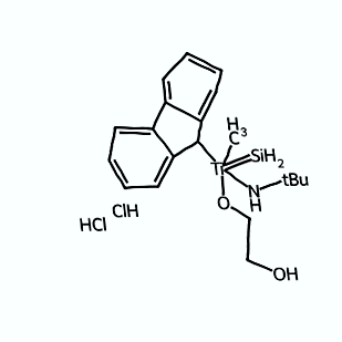 CC(C)(C)[NH][Ti]([CH3])(=[SiH2])([O]CCO)[CH]1c2ccccc2-c2ccccc21.Cl.Cl